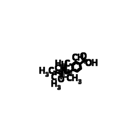 Cc1c(C(=O)O)ccc([C@H](C)N[S@@+]([O-])C(C)(C)C)c1C